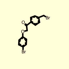 O=C(COc1ccc(Br)cc1)c1ccc(CBr)cc1